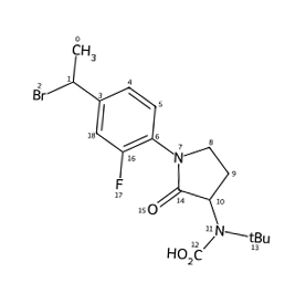 CC(Br)c1ccc(N2CCC(N(C(=O)O)C(C)(C)C)C2=O)c(F)c1